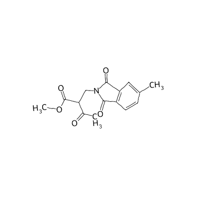 COC(=O)C(CN1C(=O)c2ccc(C)cc2C1=O)C(C)=O